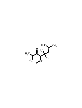 CC(C)CC(C)(C)C(NI)C(=O)C(C)C